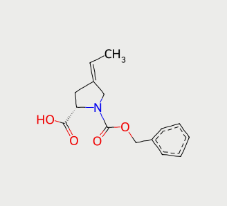 CC=C1C[C@@H](C(=O)O)N(C(=O)OCc2ccccc2)C1